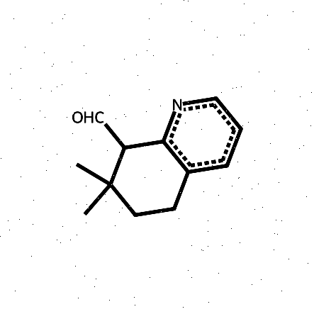 CC1(C)CCc2cccnc2C1C=O